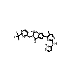 Cc1cnc(Nc2ccnn2C)nc1-c1cc2n(c1)C[C@H](C)N(Cc1ccnc(C(F)(F)F)n1)C2=O